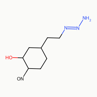 NN=NCCC1CCC(N=O)C(O)C1